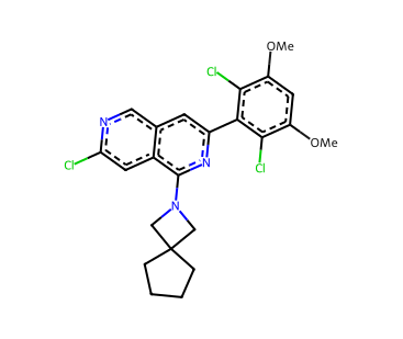 COc1cc(OC)c(Cl)c(-c2cc3cnc(Cl)cc3c(N3CC4(CCCC4)C3)n2)c1Cl